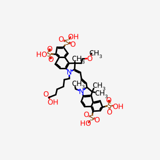 CCN1c2ccc3c(S(=O)(=O)O)cc(S(=O)(=O)O)cc3c2C(C)(C)C1C=CC=C1N(CCCCCC(=O)O)c2ccc3c(S(=O)(=O)O)cc(S(=O)(=O)O)cc3c2C1(C)CCOC